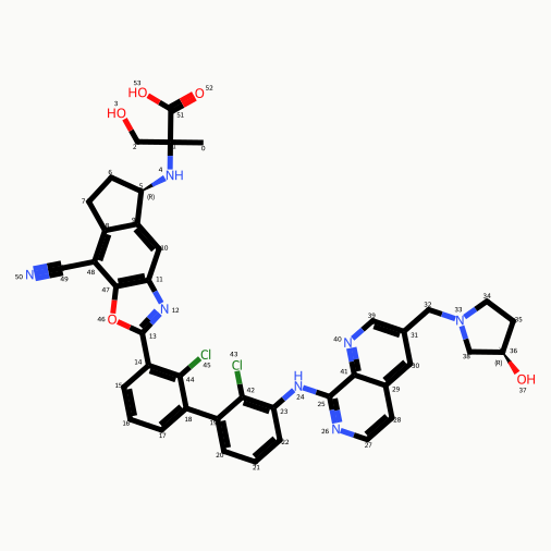 CC(CO)(N[C@@H]1CCc2c1cc1nc(-c3cccc(-c4cccc(Nc5nccc6cc(CN7CC[C@@H](O)C7)cnc56)c4Cl)c3Cl)oc1c2C#N)C(=O)O